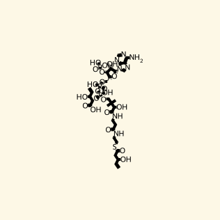 C=CC(O)CC(=O)O.C=CC(O)CC(=O)SCCNC(=O)CCNC(=O)C(O)C(C)(C)COP(=O)(O)OP(=O)(O)OC[C@H]1O[C@@H](n2cnc3c(N)ncnc32)[C@H](O)[C@@H]1OP(=O)(O)O